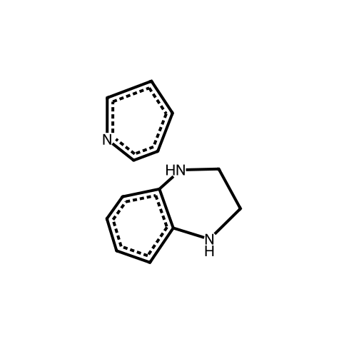 c1ccc2c(c1)NCCN2.c1ccncc1